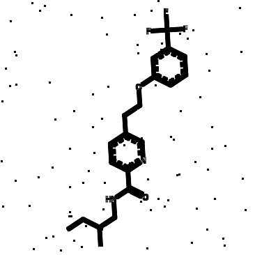 CCC(C)CNC(=O)c1ccc(CCOc2cccc(C(F)(F)F)c2)cn1